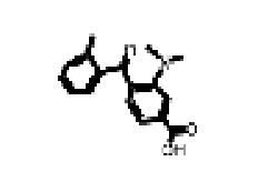 Cc1ccccc1C(=O)c1ccc(C(=O)O)cc1N(C)C